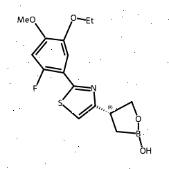 CCOc1cc(-c2nc([C@@H]3COB(O)C3)cs2)c(F)cc1OC